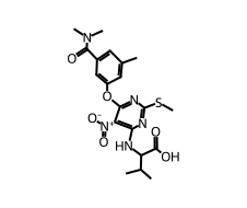 CSc1nc(NC(C(=O)O)C(C)C)c([N+](=O)[O-])c(Oc2cc(C)cc(C(=O)N(C)C)c2)n1